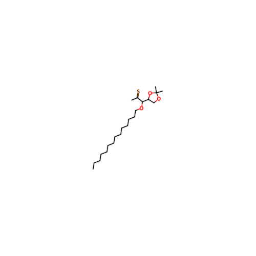 CCCCCCCCCCCCCCOC(C(C)=S)C1COC(C)(C)O1